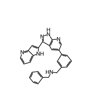 c1ccc(CNCc2cccc(-c3cnc4[nH]nc(-c5cc6ncccc6[nH]5)c4c3)c2)cc1